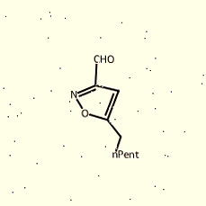 CCCCCCc1cc(C=O)no1